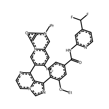 CCOc1cc(C(=O)Nc2cc(C(F)F)ccn2)ccc1-c1ncn2ccnc(-c3cn4c5oc=5n(C(C)C)cc4cc3N)c12